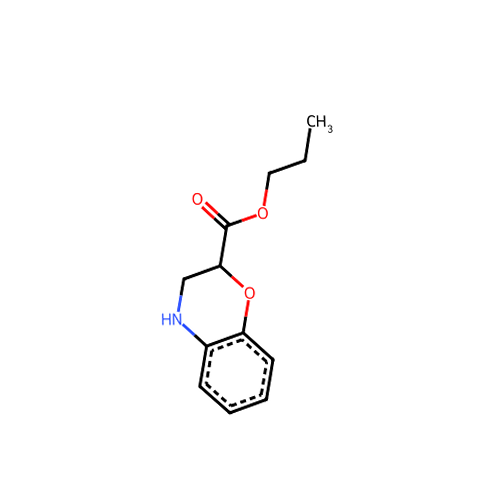 CCCOC(=O)C1CNc2ccccc2O1